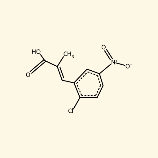 C/C(=C\c1cc([N+](=O)[O-])ccc1Cl)C(=O)O